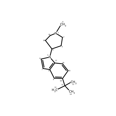 CN1CCC(n2ccc3cc(C(C)(C)C)ccc32)CC1